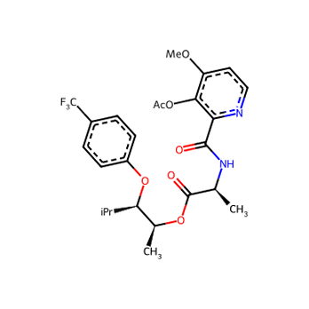 COc1ccnc(C(=O)N[C@@H](C)C(=O)O[C@@H](C)[C@H](Oc2ccc(C(F)(F)F)cc2)C(C)C)c1OC(C)=O